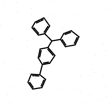 c1ccc([C](c2ccccc2)c2ccc(-c3ccccc3)cc2)cc1